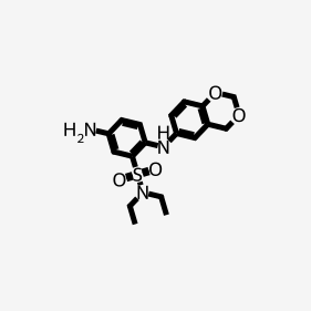 CCN(CC)S(=O)(=O)c1cc(N)ccc1Nc1ccc2c(c1)COCO2